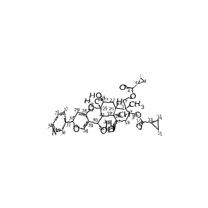 C[C@@]1(COC(=O)C2CC2)[C@@H](OC(=O)C2CC2)CC(=O)[C@@]2(C)[C@@H]1C[C@H](O)[C@@]1(C)OC3=CC(c4cccnc4)OC=C3[C@H](O)[C@@H]12